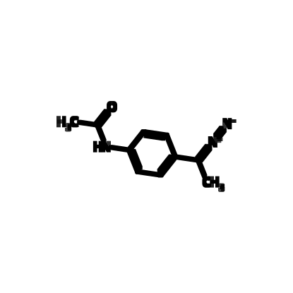 CC(=O)Nc1ccc(C(C)=[N+]=[N-])cc1